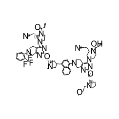 C=CC(=O)N1CCN(c2nc(OC[C@@H]3CC(c4ccc(N5CCc6c(nc(OC[C@@H]7CCCN7CCOC)nc6N6CCN(C(O)C=C)C(CC#N)C6)C5)c5ccccc45)CN3C)nc3c2CCN(c2ccccc2C(F)(F)F)C3)C[C@@H]1CC#N